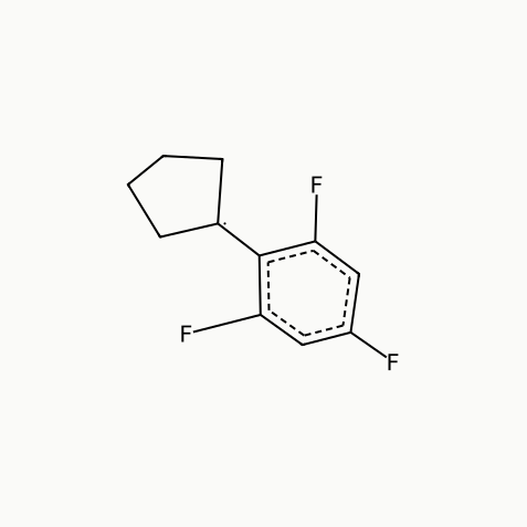 Fc1cc(F)c([C]2CCCC2)c(F)c1